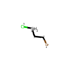 Cl[SiH2]CCBr